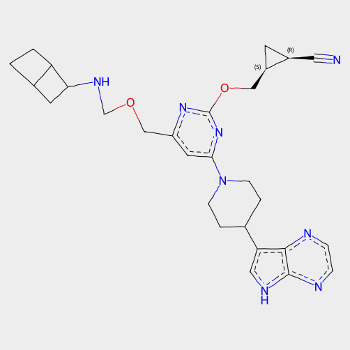 N#C[C@@H]1C[C@@H]1COc1nc(COCNC2CC3CCC32)cc(N2CCC(c3c[nH]c4nccnc34)CC2)n1